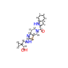 O=C(c1cc2ccccc2[nH]1)N1CCc2nc(NCC3(CO)CC3)sc2C1